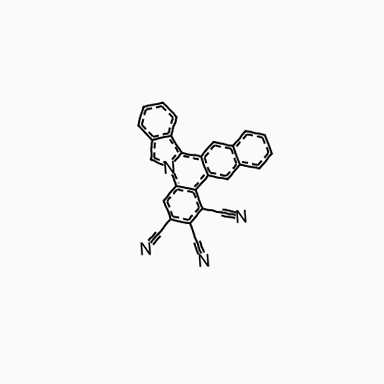 N#Cc1cc2c(c(C#N)c1C#N)c1cc3ccccc3cc1c1c3ccccc3cn21